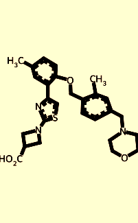 Cc1ccc(OCc2ccc(CN3CCOCC3)cc2C)c(-c2csc(N3CC(C(=O)O)C3)n2)c1